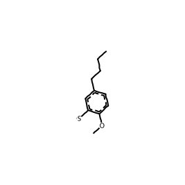 CCCCc1ccc(OC)c([S])c1